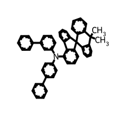 CC1(C)c2ccccc2C2(c3ccccc3-c3c(N(c4ccc(-c5ccccc5)cc4)c4cccc(-c5ccccc5)c4)cccc32)c2ccccc21